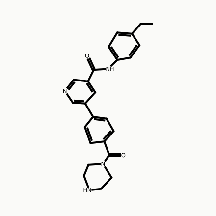 CCc1ccc(NC(=O)c2cncc(-c3ccc(C(=O)N4CCNCC4)cc3)c2)cc1